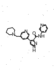 O=C(Nc1cccnc1)c1n[nH]cc1-c1cncc(CN2CCCCC2)c1